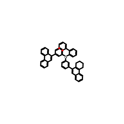 c1ccc(-c2ccccc2N(c2cccc(-c3cc4ccccc4c4c3CCCC4)c2)c2cccc(-c3cc4ccccc4c4ccccc34)c2)cc1